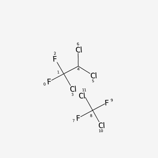 FC(F)(Cl)C(Cl)Cl.FC(F)(Cl)Cl